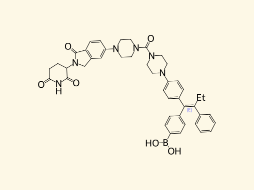 CC/C(=C(/c1ccc(B(O)O)cc1)c1ccc(N2CCN(C(=O)N3CCN(c4ccc5c(c4)CN(C4CCC(=O)NC4=O)C5=O)CC3)CC2)cc1)c1ccccc1